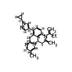 C=C(CC)N1C(=C)CCc2c1ccc(-c1cnn(C3CC3)c1)c2Cc1ncc(C)cn1